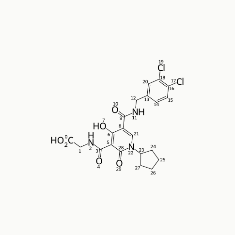 O=C(O)CNC(=O)c1c(O)c(C(=O)NCc2ccc(Cl)c(Cl)c2)cn(C2CCCC2)c1=O